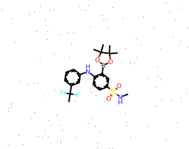 CNS(=O)(=O)c1ccc(Nc2cccc(C(C)(F)F)c2)c(B2OC(C)(C)C(C)(C)O2)c1